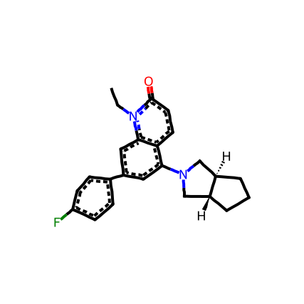 CCn1c(=O)ccc2c(N3C[C@H]4CCC[C@@H]4C3)cc(-c3ccc(F)cc3)cc21